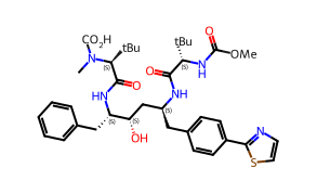 COC(=O)N[C@H](C(=O)N[C@@H](Cc1ccc(-c2nccs2)cc1)C[C@H](O)[C@H](Cc1ccccc1)NC(=O)[C@@H](N(C)C(=O)O)C(C)(C)C)C(C)(C)C